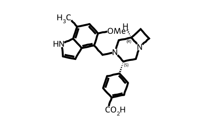 COc1cc(C)c2[nH]ccc2c1CN1C[C@H]2CCN2C[C@@H]1c1ccc(C(=O)O)cc1